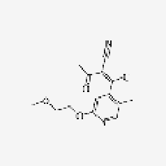 COCCOc1cc(/C(Cl)=C(/C#N)C(C)=O)c(C)cn1